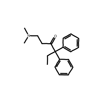 CCC(C(=O)CCN(C)C)(c1ccccc1)c1ccccc1